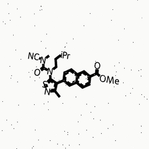 COC(=O)c1ccc2cc(-c3c(C)nsc3N(CCC(C)C)C(=O)N(C)C#N)ccc2c1